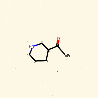 CCCC(=O)C1[CH]CCNC1